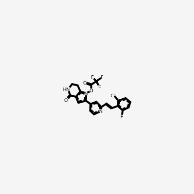 O=C1NCCc2c1cc(-c1ccnc(C=Cc3c(F)cccc3Cl)c1)n2OC(=O)C(F)(F)F